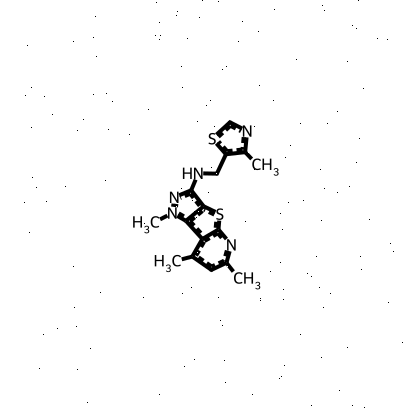 Cc1cc(C)c2c(n1)sc1c(NCc3scnc3C)nn(C)c12